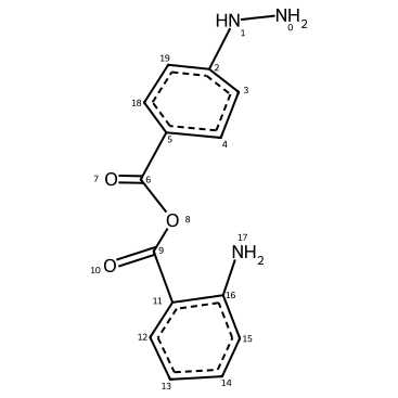 NNc1ccc(C(=O)OC(=O)c2ccccc2N)cc1